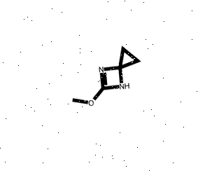 COC1=NC2(CC2)N1